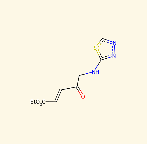 CCOC(=O)/C=C/C(=O)CNc1nncs1